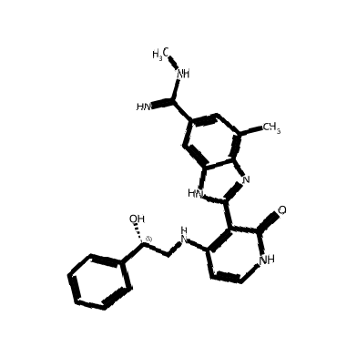 CNC(=N)c1cc(C)c2nc(-c3c(NC[C@@H](O)c4ccccc4)cc[nH]c3=O)[nH]c2c1